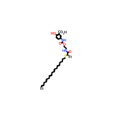 CCC=CCC=CCC=CCC=CCC=CCCCCS[C@H](CC)C(=O)NCCOC(=O)Nc1ccc(O)c(C(=O)O)c1